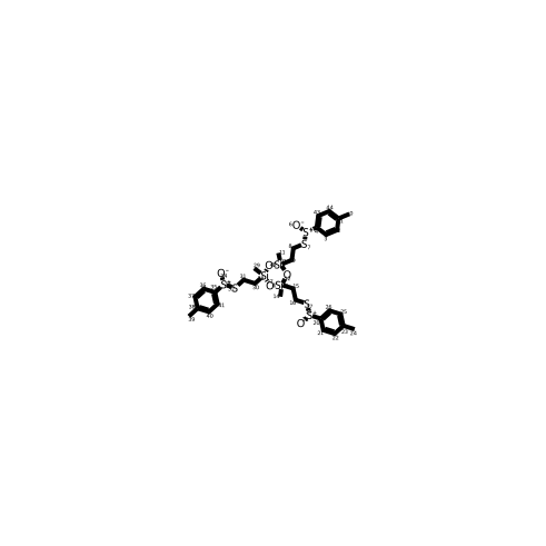 Cc1ccc([S+]([O-])SCC[Si]2(C)O[Si](C)(CCS[S+]([O-])c3ccc(C)cc3)O[Si](C)(CCS[S+]([O-])c3ccc(C)cc3)O2)cc1